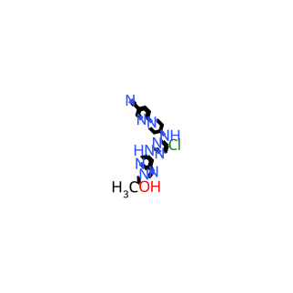 CC(O)Cn1cnc2cc(Nc3ncc(Cl)c(NC4CCN(c5ccc(C#N)cn5)CC4)n3)cnc21